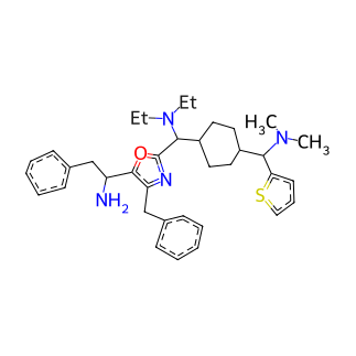 CCN(CC)C(c1nc(Cc2ccccc2)c(C(N)Cc2ccccc2)o1)C1CCC(C(c2cccs2)N(C)C)CC1